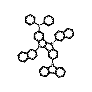 c1ccc(N(c2ccccc2)c2ccc3c(c2)c2c(c4cc(-n5c6ccccc6c6ccccc65)ccc4n2-c2ccc4ccccc4c2)n3-c2ccc3ccccc3c2)cc1